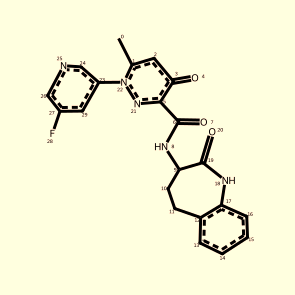 Cc1cc(=O)c(C(=O)NC2CCc3ccccc3NC2=O)nn1-c1cncc(F)c1